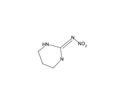 O=[N+]([O-])N=C1[N]CCCN1